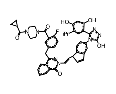 CC(C)c1cc(-c2nnc(O)n2-c2ccc3c(c2)C=CC3/C=C/n2nc(Cc3ccc(F)c(C(=O)N4CCN(C(=O)C5CC5)CC4)c3)c3ccccc3c2=O)c(O)cc1O